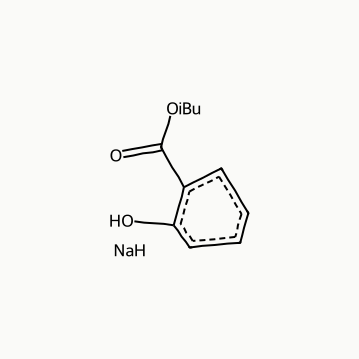 CC(C)COC(=O)c1ccccc1O.[NaH]